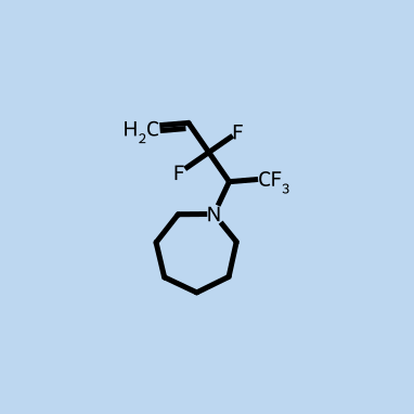 C=CC(F)(F)C(N1CCCCCC1)C(F)(F)F